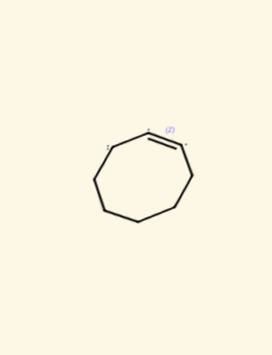 [C]1/[C]=[C]\CCCCC1